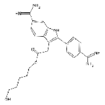 N=C(N)c1ccc(-c2[nH]c3cc(C(=N)N)ccc3c2CC(=O)OCCCCCO)cc1